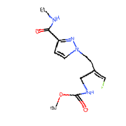 CCNC(=O)c1ccn(CC(=CF)CNC(=O)OC(C)(C)C)n1